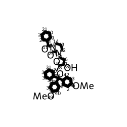 COc1ccc(C(OC[C@H]2O[C@@H](N3CCCN(C(=O)c4ccccc4)C3=O)C[C@@H]2O)(c2ccccc2)c2ccc(OC)cc2)cc1